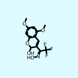 COc1cc(OC)c2c(c1)OC(O)C(/C(=N\O)C(F)(F)F)=C2